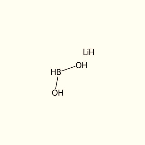 OBO.[LiH]